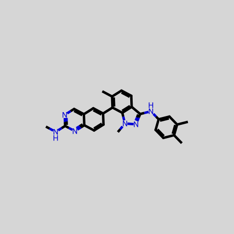 CNc1ncc2cc(-c3c(C)ccc4c(Nc5ccc(C)c(C)c5)nn(C)c34)ccc2n1